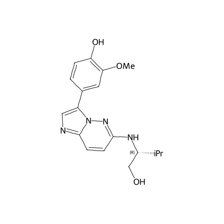 COc1cc(-c2cnc3ccc(N[C@@H](CO)C(C)C)nn23)ccc1O